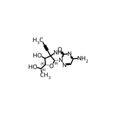 CC#CC1(N)C(O)[C@@H]([C@@H](C)O)O[C@H]1n1ncc(N)nc1=O